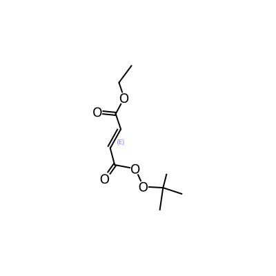 CCOC(=O)/C=C/C(=O)OOC(C)(C)C